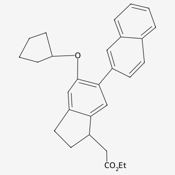 CCOC(=O)CC1CCc2cc(OC3CCCC3)c(-c3ccc4ccccc4c3)cc21